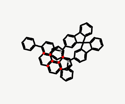 c1ccc(-c2ccc(N(c3ccc4c(c3)C3(c5ccccc5-c5ccc(N(c6ccccc6)c6ccccc6)cc53)c3ccccc3-4)c3ccccc3-c3ccccc3)c(-c3ccccc3)c2)cc1